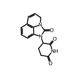 O=C1CCC(n2c(=O)n3c4c(cccc42)C=CC3)C(=O)N1